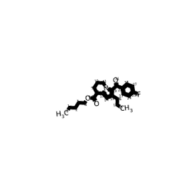 CCCCCOC(=O)C1CCCn2c1cc(CCC)c2C(=O)c1ccc(F)cc1